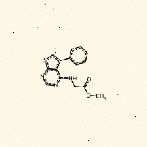 COC(=O)CNc1ncnc2scc(-c3ccccc3)c12